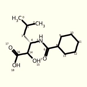 CC(C)C[C@H](NC(=O)C1CCCCC1)C(O)C(=O)O